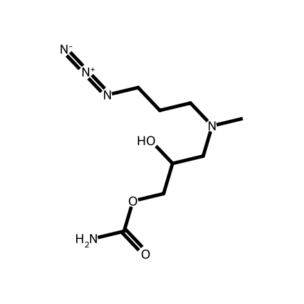 CN(CCCN=[N+]=[N-])CC(O)COC(N)=O